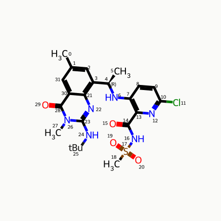 Cc1cc([C@@H](C)Nc2ccc(Cl)nc2C(=O)NS(C)(=O)=O)c2nc(NC(C)(C)C)n(C)c(=O)c2c1